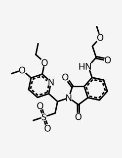 CCOc1nc(C(CS(C)(=O)=O)N2C(=O)c3cccc(NC(=O)COC)c3C2=O)ccc1OC